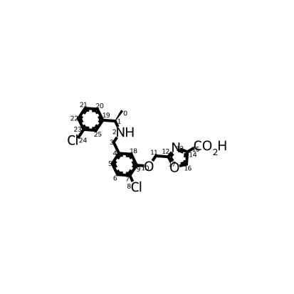 C[C@@H](NCc1ccc(Cl)c(OCc2nc(C(=O)O)co2)c1)c1cccc(Cl)c1